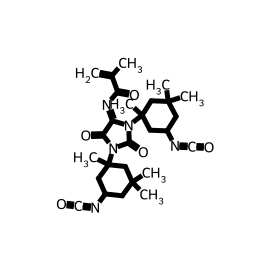 C=C(C)C(=O)N=C1C(=O)N(C2(C)CC(N=C=O)CC(C)(C)C2)C(=O)N1C1(C)CC(N=C=O)CC(C)(C)C1